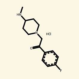 CNC1CCN(CC(=O)c2ccc(F)cc2)CC1.Cl